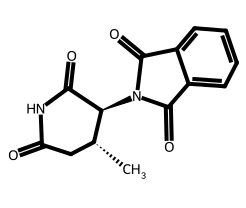 C[C@@H]1CC(=O)NC(=O)[C@H]1N1C(=O)c2ccccc2C1=O